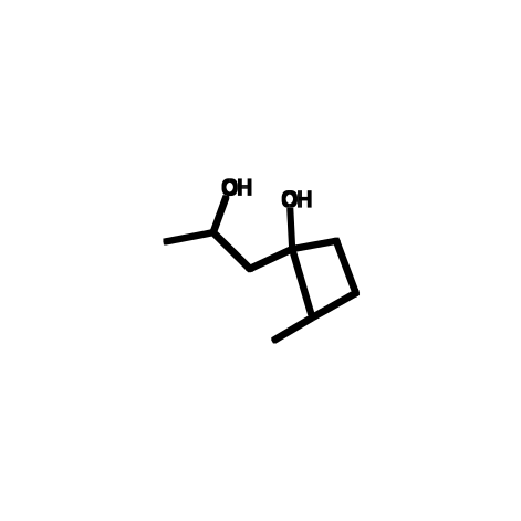 CC(O)CC1(O)CCC1C